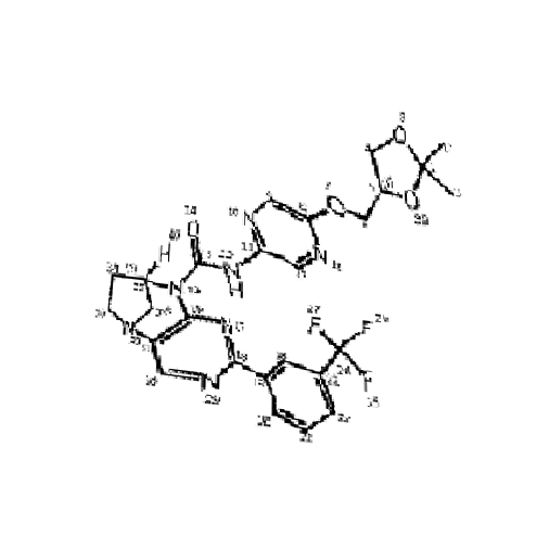 CC1(C)OC[C@H](COc2cnc(NC(=O)N3c4nc(-c5cccc(C(F)(F)F)c5)ncc4N4CC[C@H]3C4)cn2)O1